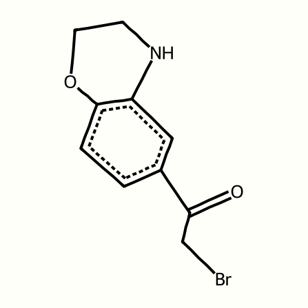 O=C(CBr)c1ccc2c(c1)NCCO2